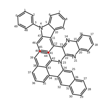 c1ccc(-n2c3ccccc3c3c(-c4nc5ccccc5nc4N4c5cc6ccccc6cc5-c5cccc6cccc4c56)cccc32)cc1